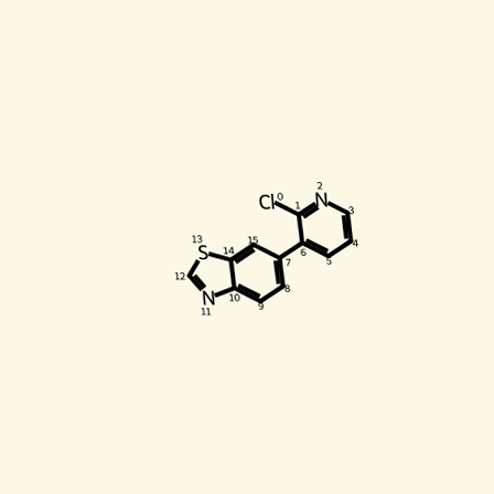 Clc1ncccc1-c1ccc2ncsc2c1